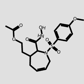 COc1ccc(S(=O)(=O)N2CC=CCC(CCOC(C)=O)C2C(=O)NO)cc1